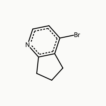 Brc1ccnc2c1CCC2